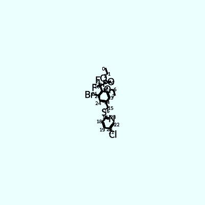 CCOP(=O)(OCC)C(F)(F)c1ccc(CSc2ccc(Cl)cn2)cc1Br